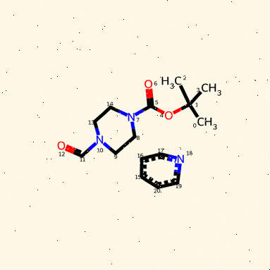 CC(C)(C)OC(=O)N1CCN(C=O)CC1.c1ccncc1